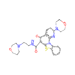 O=C(NCCN1CCCOCC1)c1c(=O)c2ccc(N3CCOCC3)nc2n2c1sc1ccccc12